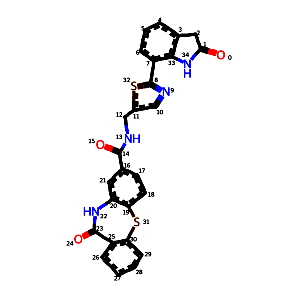 O=C1Cc2cccc(-c3ncc(CNC(=O)c4ccc5c(c4)NC(=O)c4ccccc4S5)s3)c2N1